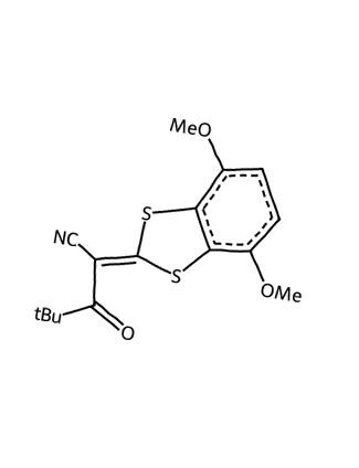 COc1ccc(OC)c2c1SC(=C(C#N)C(=O)C(C)(C)C)S2